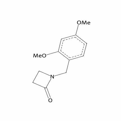 COc1ccc(CN2CCC2=O)c(OC)c1